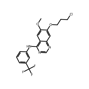 COc1cc2c(Nc3cccc(C(F)(F)F)c3)ncnc2cc1OCCCCl